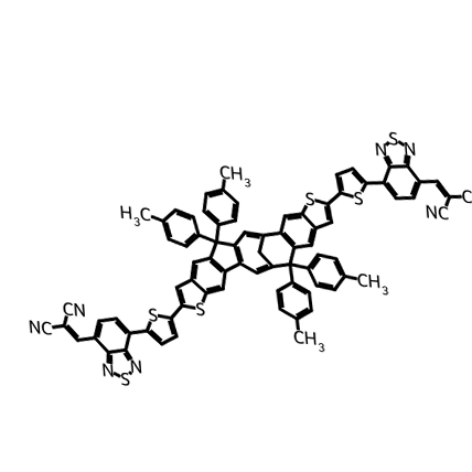 Cc1ccc(C2(c3ccc(C)cc3)C3=CC4=C(C=C(C3)c3cc5sc(-c6ccc(-c7ccc(C=C(C#N)C#N)c8nsnc78)s6)cc5cc32)C(c2ccc(C)cc2)(c2ccc(C)cc2)c2cc3cc(-c5ccc(-c6ccc(C=C(C#N)C#N)c7nsnc67)s5)sc3cc24)cc1